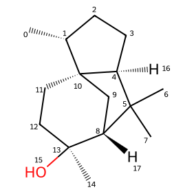 C[C@@H]1CC[C@H]2C(C)(C)[C@H]3C[C@@]12CC[C@]3(C)O